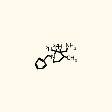 [2H]C1(CN)C(C)CCN(Cc2ccccc2)C1([2H])[2H]